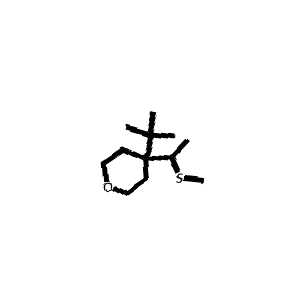 CSC(C)C1(C(C)(C)C)CCOCC1